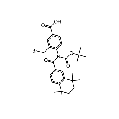 CC(C)(C)OC(=O)N(C(=O)c1ccc2c(c1)C(C)(C)CCC2(C)C)c1ccc(C(=O)O)cc1CBr